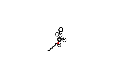 CCCCCCCC(=O)c1ccc(OC(=O)C2CCCCC2)c([C]=O)c1